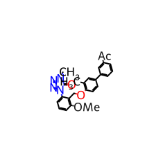 COc1cccc(-n2nnn(C)c2=O)c1COc1ccc(-c2cccc(C(C)=O)c2)cc1C